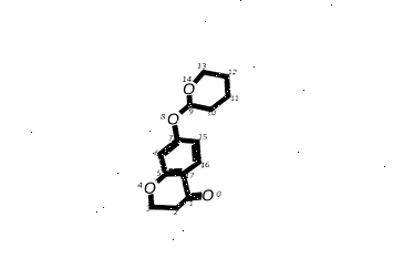 O=C1CCOc2cc(OC3CCCCO3)ccc21